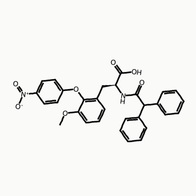 COc1cccc(C[C@H](NC(=O)C(c2ccccc2)c2ccccc2)C(=O)O)c1Oc1ccc([N+](=O)[O-])cc1